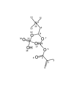 C=C(C)C(=O)OCOC(C[N+](C)(C)C)OP(=O)(O)O